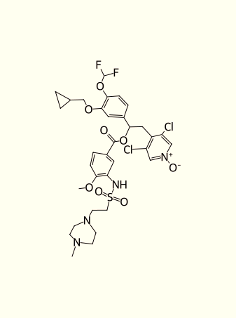 COc1ccc(C(=O)OC(Cc2c(Cl)c[n+]([O-])cc2Cl)c2ccc(OC(F)F)c(OCC3CC3)c2)cc1NS(=O)(=O)CCN1CCN(C)CC1